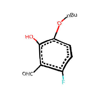 CCCCOc1ccc(F)c(C=O)c1O